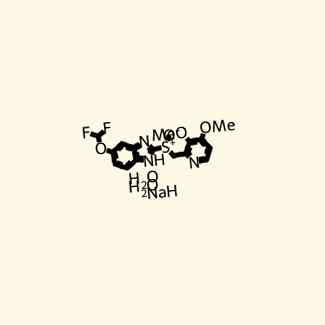 COc1ccnc(C[S+]([O-])c2nc3cc(OC(F)F)ccc3[nH]2)c1OC.O.O.[NaH]